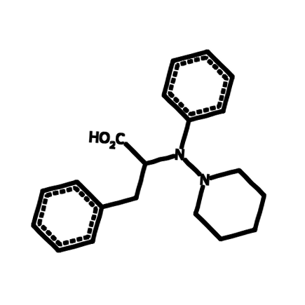 O=C(O)C(Cc1ccccc1)N(c1ccccc1)N1CCCCC1